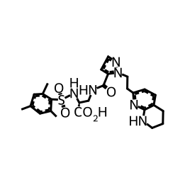 Cc1cc(C)c(S(=O)(=O)N[C@@H](CNC(=O)c2ccnn2CCc2ccc3c(n2)NCCC3)C(=O)O)c(C)c1